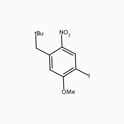 COc1cc(CC(C)(C)C)c([N+](=O)[O-])cc1I